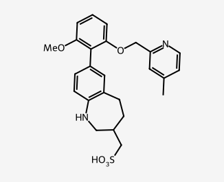 COc1cccc(OCc2cc(C)ccn2)c1-c1ccc2c(c1)CCC(CS(=O)(=O)O)CN2